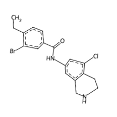 CCc1ccc(C(=O)Nc2cc(Cl)c3c(c2)CNCC3)cc1Br